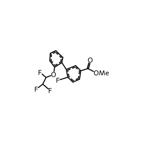 COC(=O)c1ccc(F)c(-c2ccccc2OC(F)C(F)F)c1